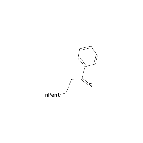 CCCCCCCC(=S)c1ccccc1